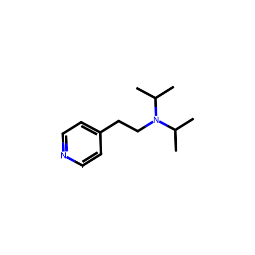 CC(C)N(CCc1c[c]ncc1)C(C)C